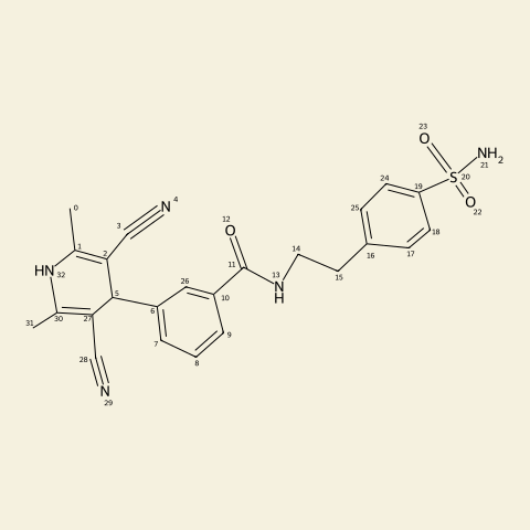 CC1=C(C#N)C(c2cccc(C(=O)NCCc3ccc(S(N)(=O)=O)cc3)c2)C(C#N)=C(C)N1